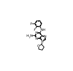 Nc1nc(Nc2cccc(F)c2F)c2ncn(C3CCCO3)c2n1